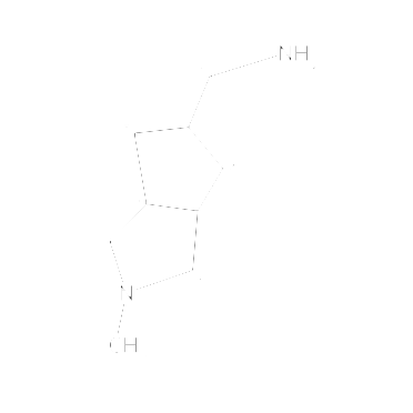 CN1CC2CC(CN)CC2C1